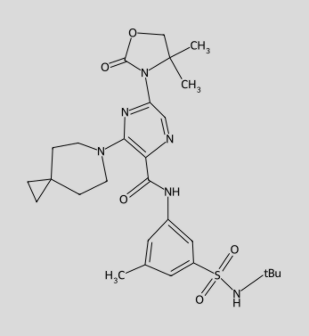 Cc1cc(NC(=O)c2ncc(N3C(=O)OCC3(C)C)nc2N2CCC3(CC2)CC3)cc(S(=O)(=O)NC(C)(C)C)c1